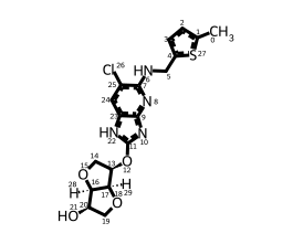 Cc1ccc(CNc2nc3nc(O[C@@H]4CO[C@H]5[C@@H]4OC[C@H]5O)[nH]c3cc2Cl)s1